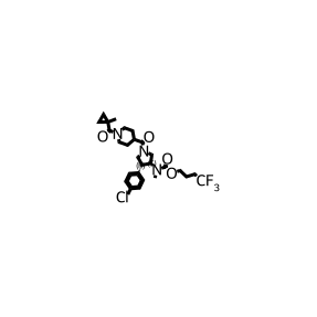 CN(C(=O)OCCCC(F)(F)F)[C@@H]1CN(C(=O)C2CCN(C(=O)C3(C)CC3)CC2)C[C@H]1c1ccc(Cl)cc1